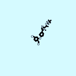 CC(O[Si](C)(C)C(C)(C)C)c1ncc(-c2ccc(Oc3cc(Cl)ccc3C=O)cc2)n1C